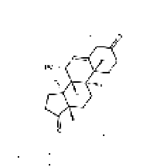 C[C@]12CCC(=O)CC1=C[C@@H](O)[C@@H]1[C@@H]2CC[C@]2(C)C(=O)CC[C@@H]12